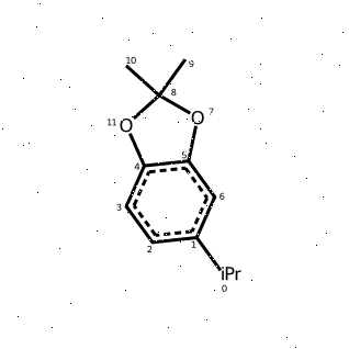 CC(C)c1ccc2c(c1)OC(C)(C)O2